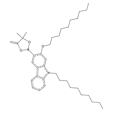 C=C1OB(c2cc3c4ccccc4n(CCCCCCCCCC)c3cc2OCCCCCCCCCC)OC1(C)C